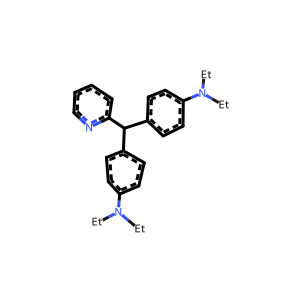 CCN(CC)c1ccc(C(c2ccc(N(CC)CC)cc2)c2ccccn2)cc1